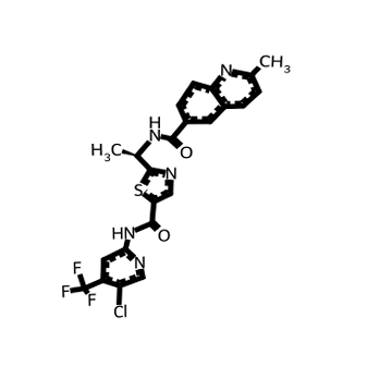 Cc1ccc2cc(C(=O)N[C@H](C)c3ncc(C(=O)Nc4cc(C(F)(F)F)c(Cl)cn4)s3)ccc2n1